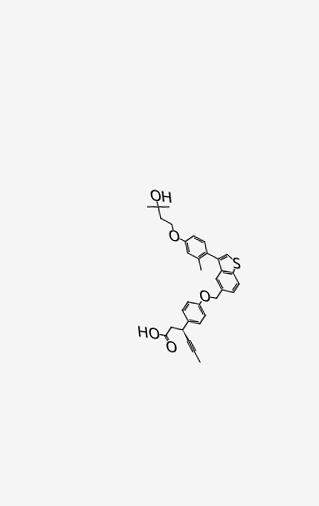 CC#C[C@@H](CC(=O)O)c1ccc(OCc2ccc3scc(-c4ccc(OCCC(C)(C)O)cc4C)c3c2)cc1